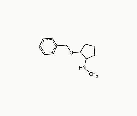 CNC1CCCC1OCc1ccccc1